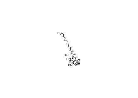 CCCCCCCCCCCCCCCCC(C(=O)O)C(C(=O)O)S(=O)(=O)O.[KH]